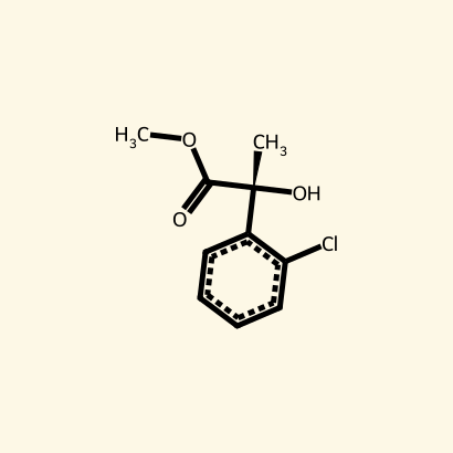 COC(=O)[C@](C)(O)c1ccccc1Cl